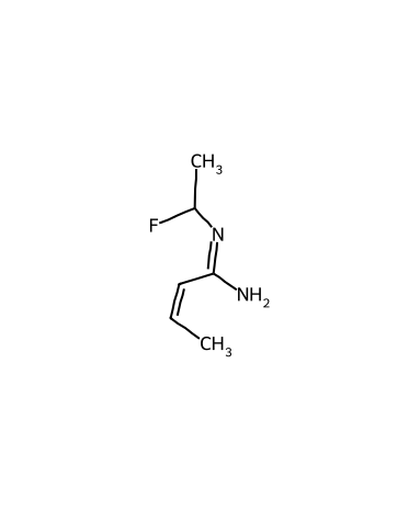 C/C=C\C(N)=N/C(C)F